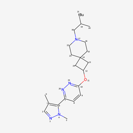 Cc1cnn(C)c1-c1ccc(OC2CC3(CCN(CC(C)C(C)(C)C)CC3)C2)nn1